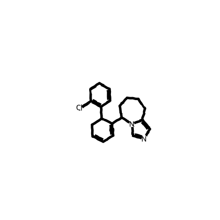 ClC1=C(C2CC=CC=C2C2CCCCc3cncn32)C=CCC1